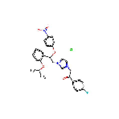 CC(C)Oc1ccccc1C(C[n+]1ccn(CC(=O)c2ccc(F)cc2)c1)Oc1ccc([N+](=O)[O-])cc1.[Cl-]